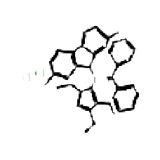 CCC1=CC(CC)[C]([Zr+2](=[C](c2ccccc2)c2ccccc2)[CH]2c3cc(C)ccc3-c3ccc(C)cc32)=C1CC.[Cl-].[Cl-]